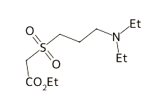 CCOC(=O)CS(=O)(=O)CCCN(CC)CC